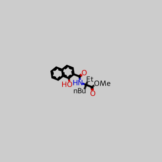 CCCCC(CC)(NC(=O)c1ccc2ccccc2c1O)C(=O)OC